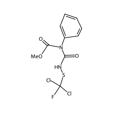 COC(=O)N(C(=O)NSC(F)(Cl)Cl)c1ccccc1